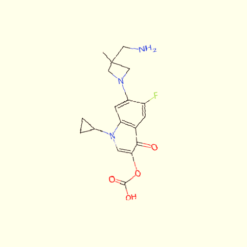 CC1(CN)CN(c2cc3c(cc2F)c(=O)c(OC(=O)O)cn3C2CC2)C1